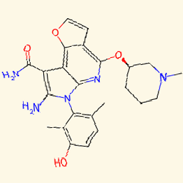 Cc1ccc(O)c(C)c1-n1c(N)c(C(N)=O)c2c3occc3c(O[C@@H]3CCCN(C)C3)nc21